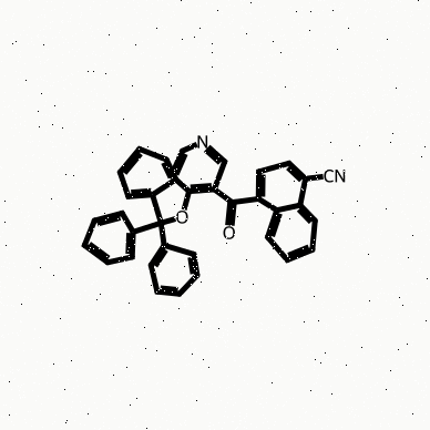 N#Cc1ccc(C(=O)c2cnccc2OC(c2ccccc2)(c2ccccc2)c2ccccc2)c2ccccc12